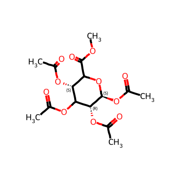 COC(=O)C1O[C@@H](OC(C)=O)[C@H](OC(C)=O)C(OC(C)=O)[C@@H]1OC(C)=O